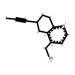 CC#CC1CCc2nccc(CC(C)C)c2C1